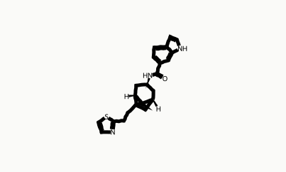 O=C(N[C@@H]1C[C@H]2CC[C@@H](C1)C21CC1CCc1nccs1)c1ccc2cc[nH]c2c1